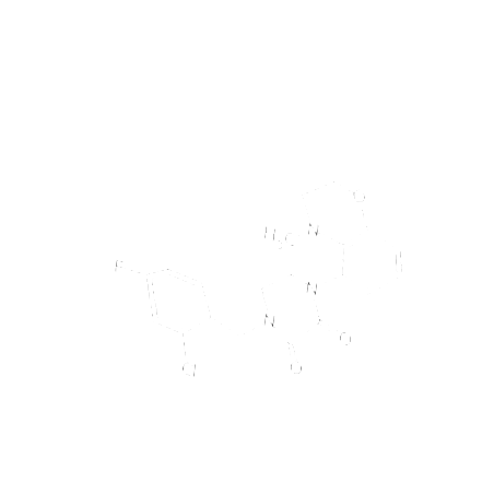 CN1CCOc2cccc(N3CCN(Cc4ccc(F)cc4Cl)C(=O)C3=O)c21